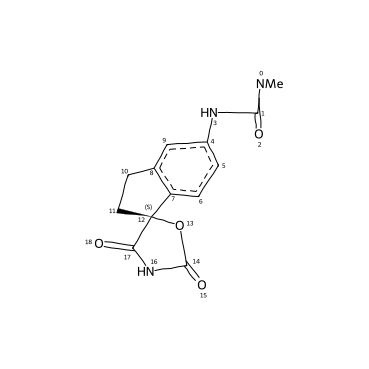 CNC(=O)Nc1ccc2c(c1)CC[C@]21OC(=O)NC1=O